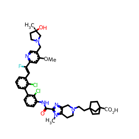 COc1cc(/C(F)=C/c2cccc(-c3cccc(NC(=O)c4nc5c(n4C)CCN(CCC46CCC(C(=O)O)(CC4)C6)C5)c3Cl)c2Cl)ncc1CN1CC[C@](C)(O)C1